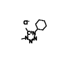 C[c+]1n(C)nnn1C1CCCCC1.[Cl-]